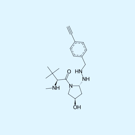 C#Cc1ccc(CNN[C@@H]2C[C@@H](O)CN2C(=O)[C@@H](NC)C(C)(C)C)cc1